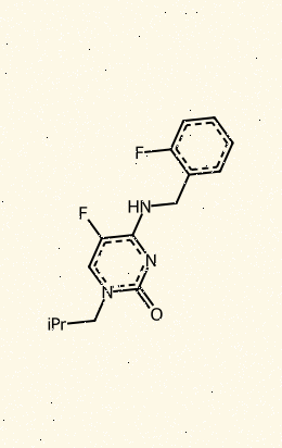 CC(C)Cn1cc(F)c(NCc2ccccc2F)nc1=O